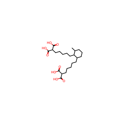 CC1CCCC(CCCCCC(C(=O)O)C(=O)O)C1CCCCCC(C(=O)O)C(=O)O